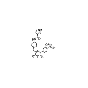 CCC1SC(=O)N(Cc2ccc(NC(=O)c3cc[nH]n3)cc2)N=C1c1ccc(OC)c(OC)c1